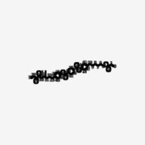 C=CC(=O)OCCCCCCc1ccc(OC(=O)[C@H]2CC[C@H](C(=O)Oc3ccc(CCCCCC(O)C(=O)C=C)cc3)CC2)cc1